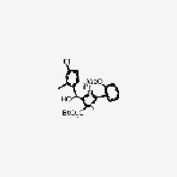 CCOC(=O)c1nc(-c2ccccc2OC)n(C(C)C)c1C(O)c1ccc(Cl)cc1C